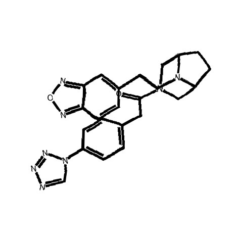 O=C(Cc1ccc(-n2cnnn2)cc1)N1CC2CCC(C1)N2CCc1ccc2nonc2c1